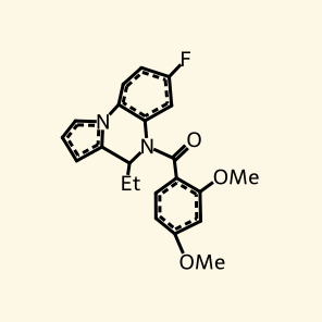 CCC1c2cccn2-c2ccc(F)cc2N1C(=O)c1ccc(OC)cc1OC